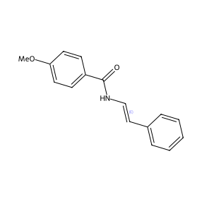 COc1ccc(C(=O)N/C=C/c2ccccc2)cc1